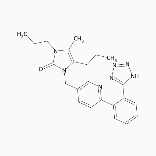 CCCc1c(C)n(CCC)c(=O)n1Cc1ccc(-c2ccccc2-c2nnn[nH]2)nc1